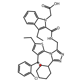 CCc1cc(C(=O)c2ccccc2Cl)c(-n2c(CNC(=O)c3c(CC)c4ccccc4n3CC(=O)O)nnc2C2CCCCC2)s1